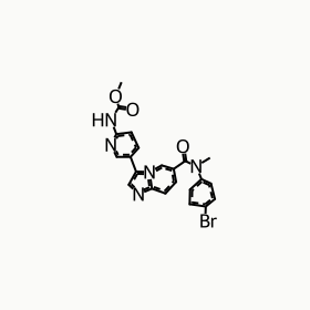 COC(=O)Nc1ccc(-c2cnc3ccc(C(=O)N(C)c4ccc(Br)cc4)cn23)cn1